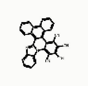 N#Cc1c(C#N)c(C#N)c2c(c1C#N)c1c3ccccc3c3ccccc3c1c1nc3ccccc3n12